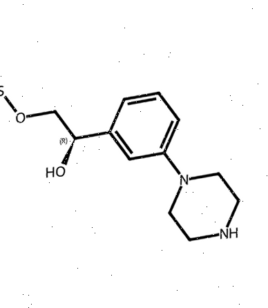 O[C@@H](COS)c1cccc(N2CCNCC2)c1